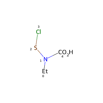 CCN(SCl)C(=O)O